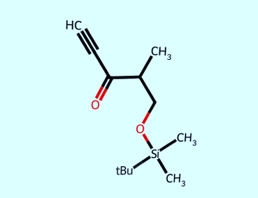 C#CC(=O)C(C)CO[Si](C)(C)C(C)(C)C